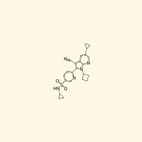 N#Cc1c(-c2ccc(S(=O)(=O)NC3CC3)cn2)n(C2CCC2)c2ncc(C3CC3)cc12